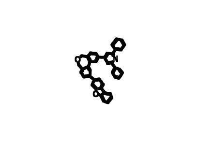 c1ccc(-c2cc(-c3ccc4c(c3)-c3cc(-c5ccc6c(c5)oc5ccccc56)ccc3COC4)cc(-c3ccccc3)n2)cc1